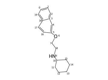 c1ccc2cc(OCCNC3CCCCC3)ccc2c1